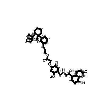 COc1cc(OCC(=O)OCCCc2cccc(C3(C(=O)O)CCCCC3C3CN4CCC3CC4)c2)c(Cl)cc1CNC[C@H](O)c1ccc(O)c2[nH]c(=O)ccc12